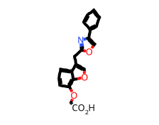 O=C(O)COc1cccc2c(Cc3nc(-c4ccccc4)co3)coc12